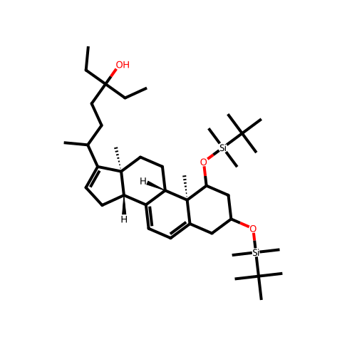 CCC(O)(CC)CCC(C)C1=CC[C@H]2C3=CC=C4CC(O[Si](C)(C)C(C)(C)C)CC(O[Si](C)(C)C(C)(C)C)[C@]4(C)[C@H]3CC[C@]12C